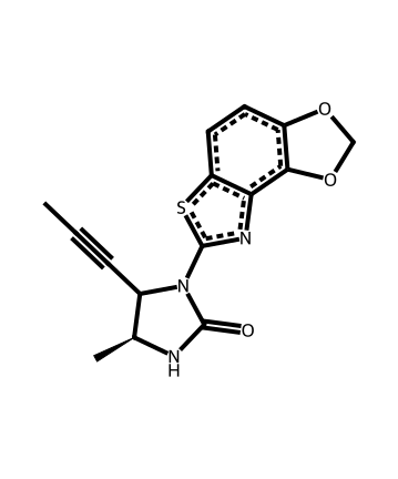 CC#CC1[C@H](C)NC(=O)N1c1nc2c3c(ccc2s1)OCO3